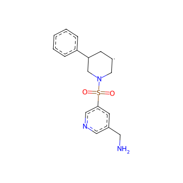 NCc1cncc(S(=O)(=O)N2C[CH]CC(c3ccccc3)C2)c1